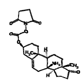 C[C@]12CC[C@H](OC(=O)ON3C(=O)CCC3=O)CC1=CC[C@]1(N)[C@@H]2CC[C@]2(C)C(=O)CC[C@@H]12